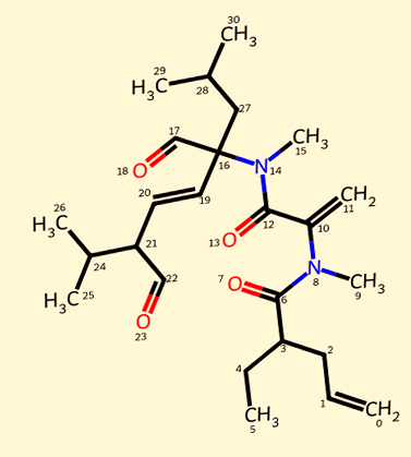 C=CCC(CC)C(=O)N(C)C(=C)C(=O)N(C)C(C=O)(/C=C/C(C=O)C(C)C)CC(C)C